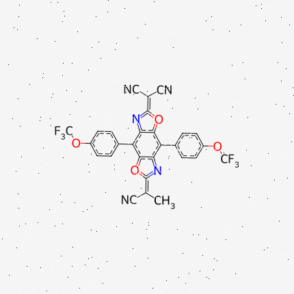 C/C(C#N)=c1\nc2c(-c3ccc(OC(F)(F)F)cc3)c3oc(=C(C#N)C#N)nc3c(-c3ccc(OC(F)(F)F)cc3)c2o1